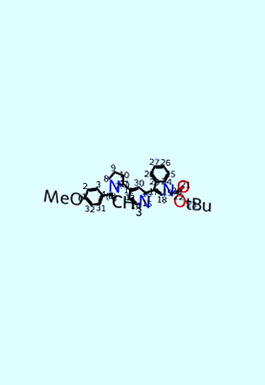 COc1ccc([C@@H](C)N2CCC[C@H]2c2ccnc(-c3cn(C(=O)OC(C)(C)C)c4ccccc34)c2)cc1